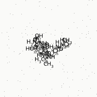 CCC(C)[C@H](NC(=O)Cc1ccc(NC(=O)Nc2ccccc2C)cc1)C(=O)N[C@@H](CCCC(=O)O)C(=O)N[C@](C=O)(CO)CN[C@@H](CC(=O)O)C(N)=O